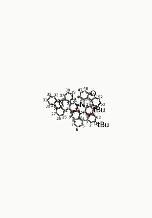 CC(C)(C)c1cc(-c2cccc3cccc(-c4ccccc4N(c4ccc(-c5cccc6c7ccccc7n(-c7ccccc7)c56)cc4)c4cccc5oc6ccccc6c45)c23)cc(C(C)(C)C)c1